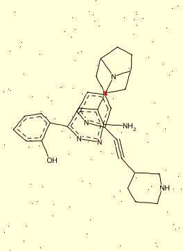 Nc1nnc(-c2ccccc2O)cc1N1CC2CCC(C1)N2c1ccnc(C#CC2CCCNC2)c1